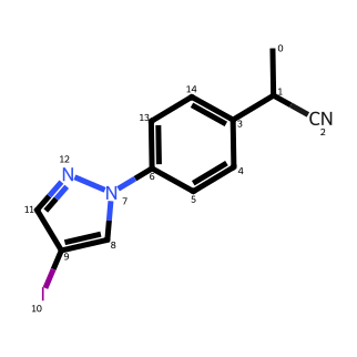 CC(C#N)c1ccc(-n2cc(I)cn2)cc1